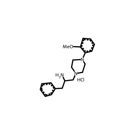 COc1ccccc1N1CCN(CC(N)Cc2ccccc2)CC1.Cl